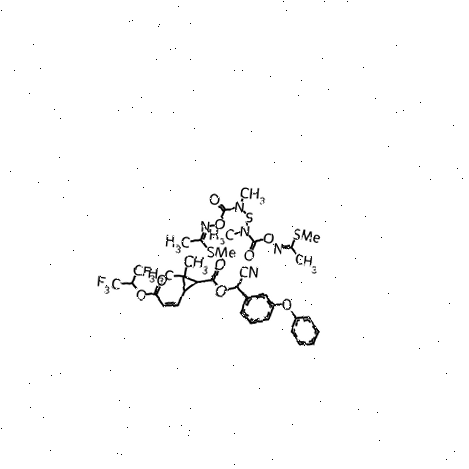 CC1(C)C(/C=C\C(=O)OC(C(F)(F)F)C(F)(F)F)C1C(=O)OC(C#N)c1cccc(Oc2ccccc2)c1.CS/C(C)=N\OC(=O)N(C)SN(C)C(=O)O/N=C(/C)SC